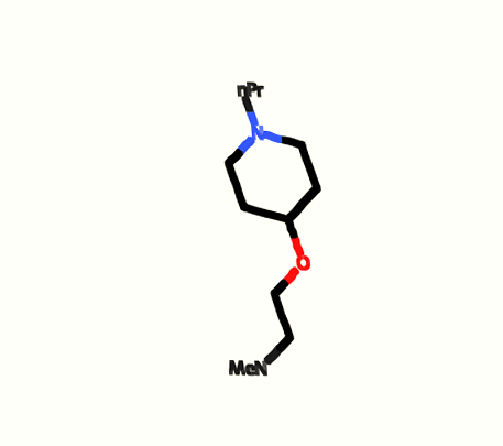 CCCN1CCC(OCCNC)CC1